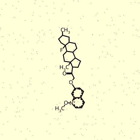 CO[n+]1cccc2ccc(OCC(=O)C3CCC4C5CCC6CC(C)CCC6(F)C5CCC34C)cc21